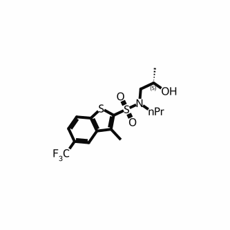 CCCN(C[C@H](C)O)S(=O)(=O)c1sc2ccc(C(F)(F)F)cc2c1C